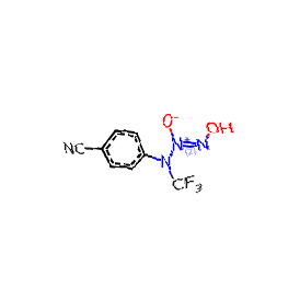 N#Cc1ccc(N(/[N+]([O-])=N/O)C(F)(F)F)cc1